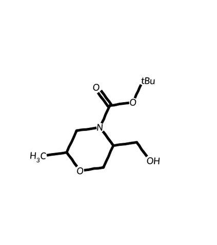 CC1CN(C(=O)OC(C)(C)C)C(CO)CO1